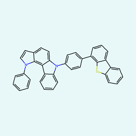 c1ccc(-n2ccc3ccc4c(c5ccccc5n4-c4ccc(-c5cccc6c5sc5ccccc56)cc4)c32)cc1